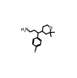 CC1(C)CC(C(CCN)c2ccc(F)cc2)CCO1